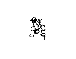 CC1(C)C2CCC3(C2)[C@@H]1N3C(=O)c1nn(-c2ccc(Cl)cc2Cl)c2c1CCCCC2Cc1ccc(F)cc1